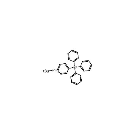 CC(C)(C)[PH3+].c1ccc([B-](c2ccccc2)(c2ccccc2)c2ccccc2)cc1